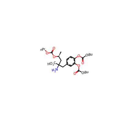 CCCOC(=O)O[C@@H](C)CC(N)(Cc1ccc(OC(=O)OCC(C)C)c(OC(=O)OCC(C)C)c1)C(=O)O